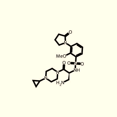 COc1c(N2CCCC2=O)cccc1S(=O)(=O)N[C@@H](CN)C(=O)N1CCN(C2CC2)CC1